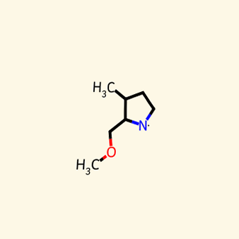 COCC1[N]CCC1C